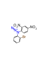 N#[N+]N(c1ccccc1Br)c1ccc([N+](=O)[O-])cc1[N+](=O)[O-]